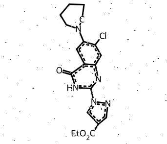 CCOC(=O)c1cnn(-c2nc3cc(Cl)c(N4CCCCC4)cc3c(=O)[nH]2)c1